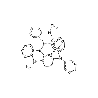 CN1c2ccccc2B(N2c3ccccc3N(C)c3ccc4c(c32)c2ccccc2n4-c2ccccc2)c2ccccc21